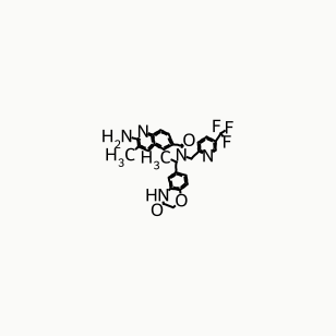 Cc1cc2cc(C(=O)N(Cc3ccc(C(F)(F)F)cn3)C(C)c3ccc4c(c3)NC(=O)CO4)ccc2nc1N